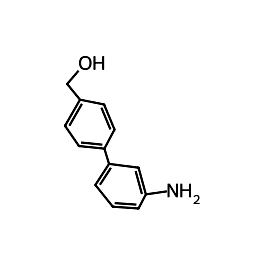 Nc1cccc(-c2ccc(CO)cc2)c1